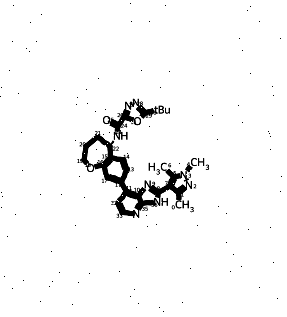 Cc1nn(C)c(C)c1-c1nc2c(-c3ccc4c(c3)OCCC[C@@H]4NC(=O)c3nnc(C(C)(C)C)o3)ccnc2[nH]1